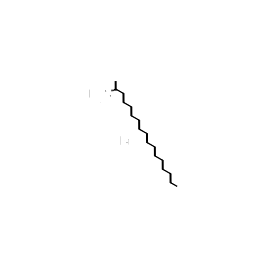 Br.CCCCCCCCCCCCCCCC(C)N